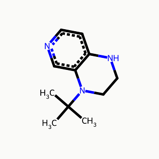 CC(C)(C)N1CCNc2ccncc21